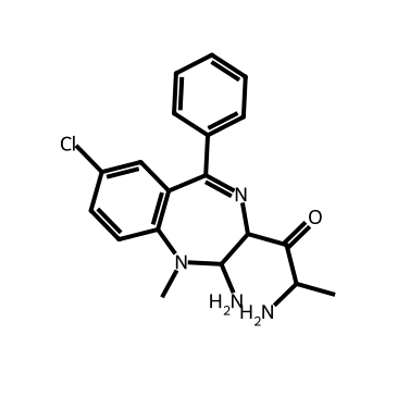 CC(N)C(=O)C1N=C(c2ccccc2)c2cc(Cl)ccc2N(C)C1N